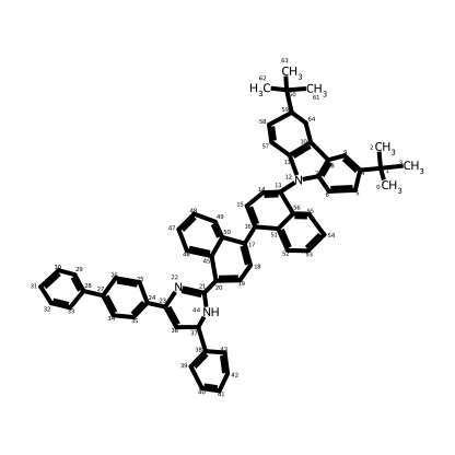 CC(C)(C)c1ccc2c(c1)c1c(n2-c2ccc(-c3ccc(C4=NC(c5ccc(-c6ccccc6)cc5)=CC(c5ccccc5)N4)c4ccccc34)c3ccccc23)C=CC(C(C)(C)C)C1